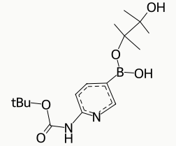 CC(C)(C)OC(=O)Nc1ccc(B(O)OC(C)(C)C(C)(C)O)cn1